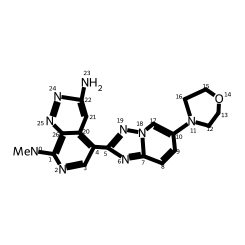 CNc1ncc(-c2nc3ccc(N4CCOCC4)cn3n2)c2cc(N)nnc12